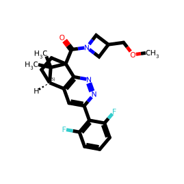 COCC1CN(C(=O)C23CC[C@H](c4cc(-c5c(F)cccc5F)nnc42)C3(C)C)C1